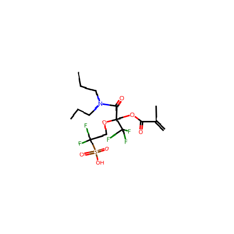 C=C(C)C(=O)OC(OCC(F)(F)S(=O)(=O)O)(C(=O)N(CCC)CCC)C(F)(F)F